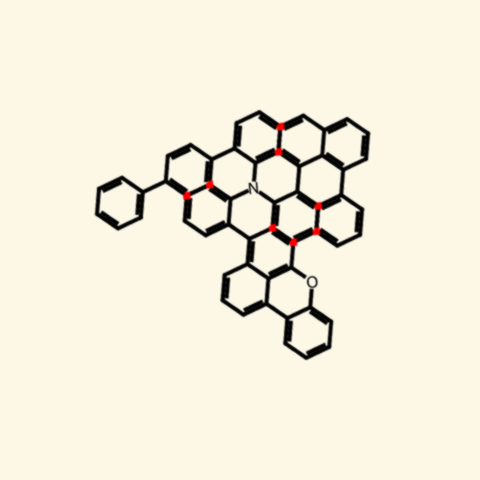 c1ccc(-c2ccc(-c3ccccc3N(c3ccccc3-c3ccc4c5c(cccc35)-c3ccccc3O4)c3ccccc3-c3cccc4cccc(-c5ccccc5)c34)cc2)cc1